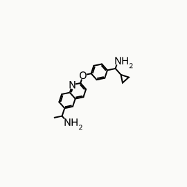 CC(N)c1ccc2nc(Oc3ccc(C(N)C4CC4)cc3)ccc2c1